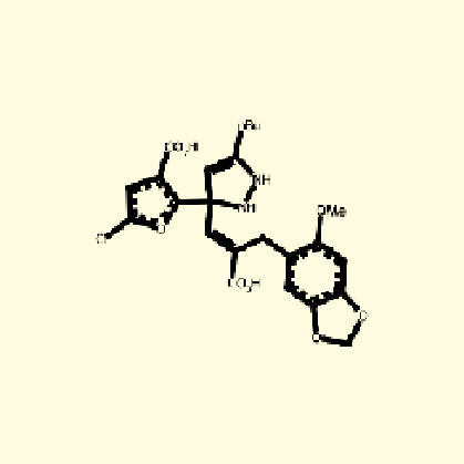 CCCCC1=CC(/C=C(\Cc2cc3c(cc2OC)OCO3)C(=O)O)(c2oc(Cl)cc2C(=O)O)NN1